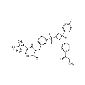 CCC(=O)c1ccc(OC2(c3ccc(F)cc3)CN(S(=O)(=O)c3cccc(CC(NC(=O)OC(C)(C)C)C(=O)O)c3)C2)cc1